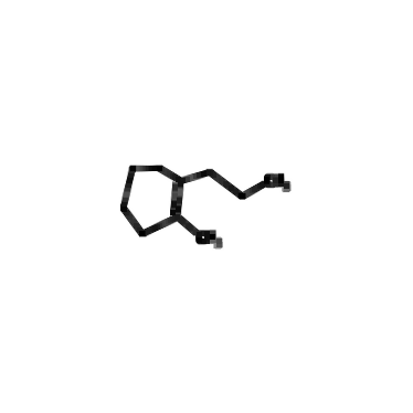 CCCC1=C(C)CCCC1